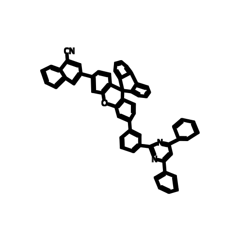 N#Cc1cc(-c2ccc3c(c2)Oc2cc(-c4cccc(-c5nc(-c6ccccc6)cc(-c6ccccc6)n5)c4)ccc2C32c3ccccc3-c3ccccc32)cc2ccccc12